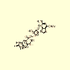 COc1nc(N)nc2c1ncn2[C@@H]1O[C@H](CO[P@@](=O)(N[C@H](C)C(=O)OC(C)C)SC[C@@H]2NC(=O)N(C)C2=O)[C@@H](O)[C@@]1(C)O